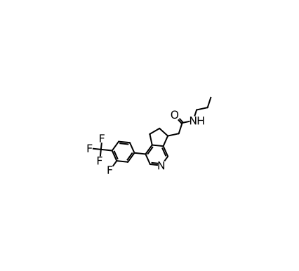 CCCNC(=O)CC1CCc2c(-c3ccc(C(F)(F)F)c(F)c3)cncc21